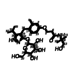 Cc1cc(OCCC(=O)NC(C)(C)CO)ccc1Cc1c(O[C@@H]2O[C@H](CO)[C@@H](O)[C@H](O)[C@H]2O)n[nH]c1C(C)C